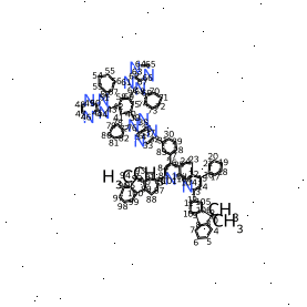 CC1(C)c2ccccc2-c2ccc(-c3cc(-c4ccccc4)c4ccc5c(-c6cccc(-c7cnc8c(n7)nc(-c7cc(-c9nc%10nccnc%10n9-c9ccccc9)cc(-c9nc%10nccnc%10n9-c9ccccc9)c7)n8-c7ccccc7)c6)cc(-c6ccc7c(c6)C(C)(C)c6ccccc6-7)nc5c4n3)cc21